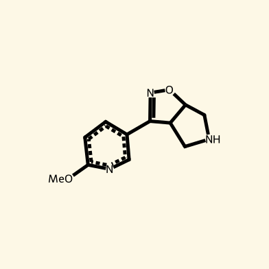 COc1ccc(C2=NOC3CNCC23)cn1